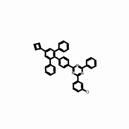 Clc1cccc(-c2nc(-c3ccccc3)nc(-c3ccc(-c4c(-c5ccccc5)cc(C5=CC=C5)cc4-c4ccccc4)cc3)n2)c1